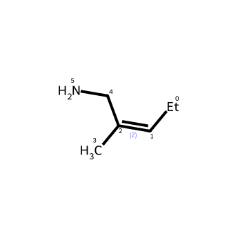 CC/C=C(/C)CN